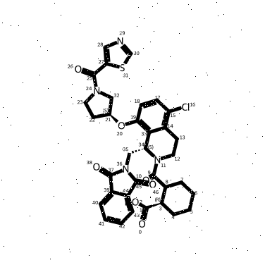 O=C(O)[C@@H]1CCCCC1C(=O)N1CCc2c(Cl)ccc(O[C@H]3CCN(C(=O)c4cncs4)C3)c2[C@H]1CN1C(=O)c2ccccc2C1=O